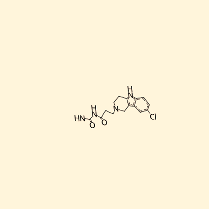 CNC(=O)NC(=O)CCN1CCc2[nH]c3ccc(Cl)cc3c2C1